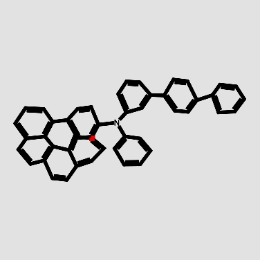 c1ccc(-c2ccc(-c3cccc(N(c4ccccc4)c4ccc(-c5cccc6ccc7ccc8ccccc8c7c56)cc4)c3)cc2)cc1